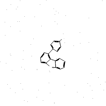 Brc1ccc(-c2cccc3sc4ccccc4c23)cc1